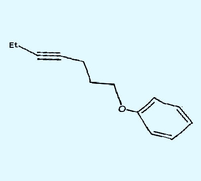 CCC#CCCCOc1c[c]ccc1